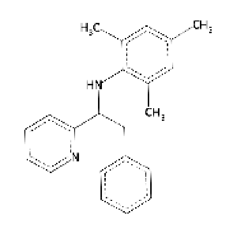 Cc1cc(C)c(NC(Cc2ccccc2)c2ccccn2)c(C)c1